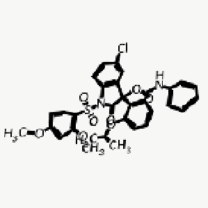 COc1ccc(S(=O)(=O)N2C(=O)C(OC(=O)Nc3ccccc3)(c3ccccc3OC(C)C)c3cc(Cl)ccc32)c(OC)c1